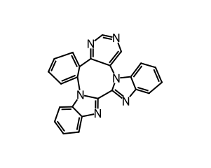 c1ccc2c(c1)nc1c3nc4ccccc4n3c3cncnc3c3ccccc3n21